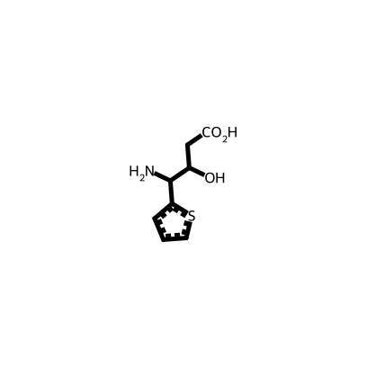 NC(c1cccs1)C(O)CC(=O)O